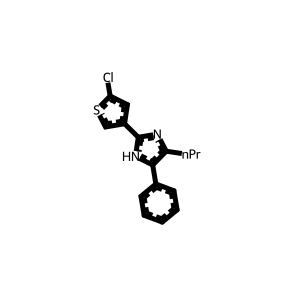 CCCc1nc(-c2csc(Cl)c2)[nH]c1-c1ccccc1